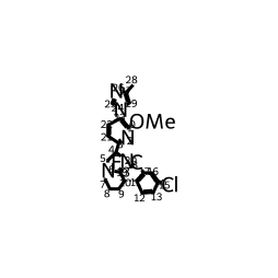 COc1nc(C2CN3CCC[C@@H](c4ccc(Cl)cc4C(F)(F)F)C3=N2)ccc1-n1cnc(C)c1